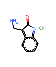 Cl.NCC1=c2ccccc2=NC1=O